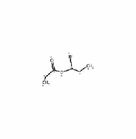 CCC(=O)OC(Br)CC